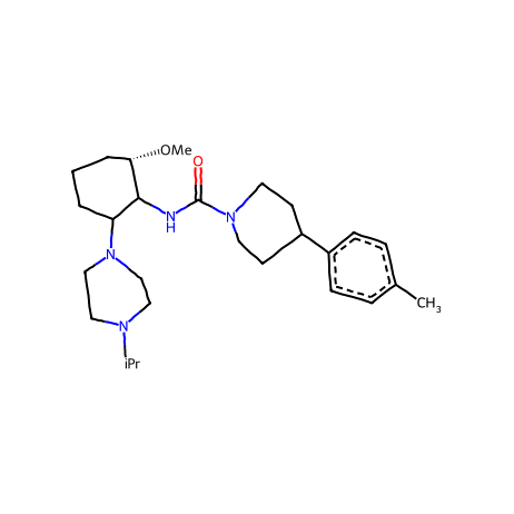 CO[C@H]1CCCC(N2CCN(C(C)C)CC2)C1NC(=O)N1CCC(c2ccc(C)cc2)CC1